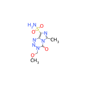 COCn1nnc2c(S(N)(=O)=O)nc(C)n2c1=O